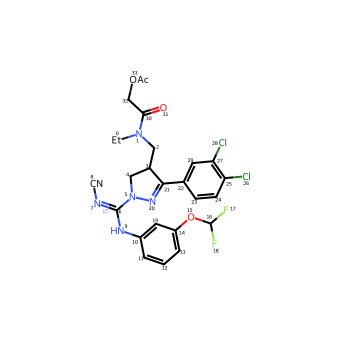 CCN(CC1CN(/C(=N\C#N)Nc2cccc(OC(F)F)c2)N=C1c1ccc(Cl)c(Cl)c1)C(=O)COC(C)=O